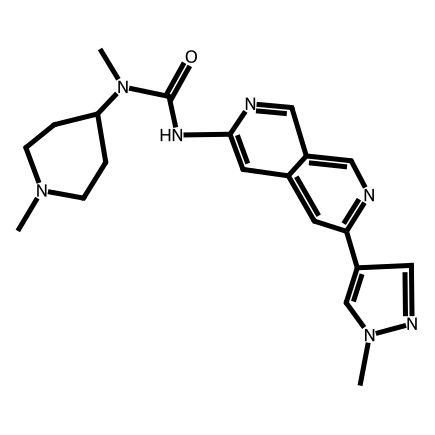 CN1CCC(N(C)C(=O)Nc2cc3cc(-c4cnn(C)c4)ncc3cn2)CC1